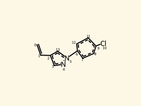 C=Cc1cnn(-c2ccc(Cl)cc2)c1